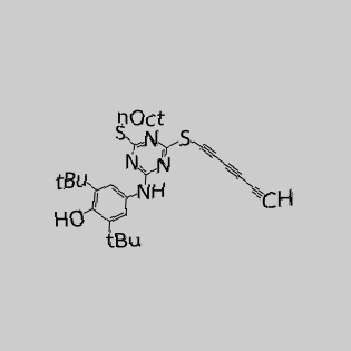 C#CC#CC#CSc1nc(Nc2cc(C(C)(C)C)c(O)c(C(C)(C)C)c2)nc(SCCCCCCCC)n1